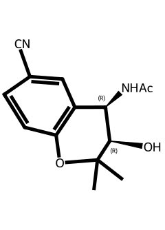 CC(=O)N[C@@H]1c2cc(C#N)ccc2OC(C)(C)[C@@H]1O